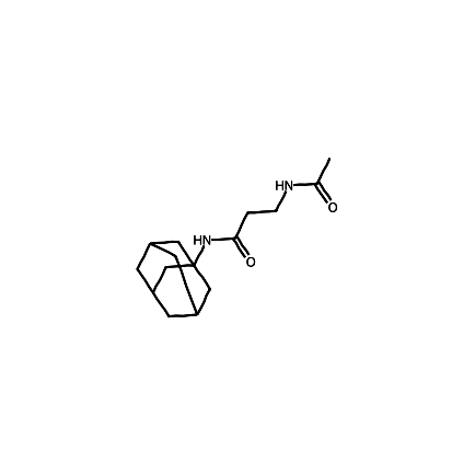 CC(=O)NCCC(=O)NC12CC3CC(CC(C3)C1)C2